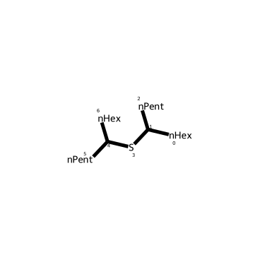 CCCCCCC(CCCCC)SC(CCCCC)CCCCCC